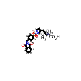 CC(C)(/C=C/C(=O)O)Cc1ccn(S(=O)(=O)c2ccc(CN3C(=O)c4ccccc4C3=O)cc2)c1